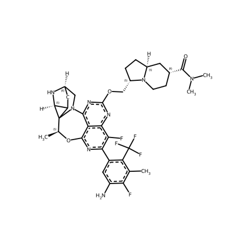 Cc1c(F)c(N)cc(-c2nc3c4c(nc(OC[C@@H]5CC[C@H]6C[C@H](C(=O)N(C)C)CCN56)nc4c2F)N2C[C@H]4CC5[C@H](N4)C52[C@H](C)O3)c1C(F)(F)F